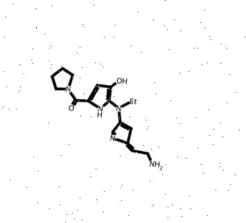 CCN(C1=C/C(=C\CN)N=C1)c1[nH]c(C(=O)N2CCCC2)cc1O